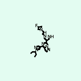 CCC(CC)n1cc(-c2nc(/C(C=N)=C/NCCN3CC(F)C3)cn3nccc23)cn1